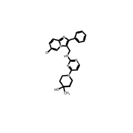 CC1(O)CCN(c2ccnc(NCc3c(-c4ccccc4)nc4ccc(Cl)cn34)n2)CC1